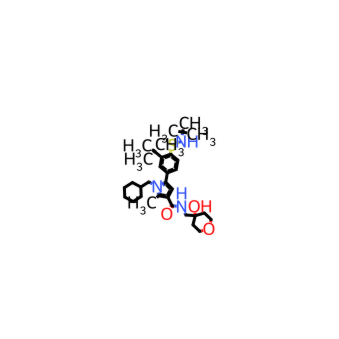 Cc1c(C(=O)NCC2(O)CCOCC2)cc(-c2ccc(SNC(C)(C)C)c(C(C)(C)C)c2)n1CC1CCCCC1